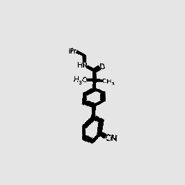 CC(C)CNC(=O)C(C)(C)c1ccc(-c2cccc(C#N)c2)cc1